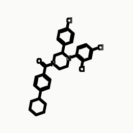 O=C(c1ccc(C2CCCCC2)cc1)N1CCN(c2ccc(Cl)cc2Cl)C(c2ccc(Cl)cc2)C1